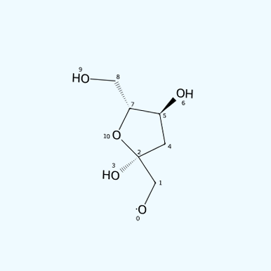 [O]C[C@]1(O)C[C@H](O)[C@@H](CO)O1